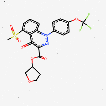 CS(=O)(=O)c1cccc2c1c(=O)c(C(=O)OC1CCOC1)nn2-c1ccc(OC(F)(F)F)cc1